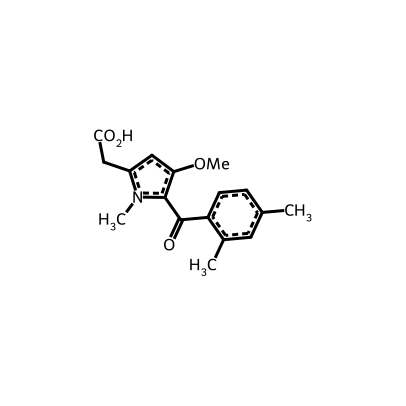 COc1cc(CC(=O)O)n(C)c1C(=O)c1ccc(C)cc1C